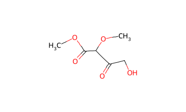 COC(=O)C(OC)C(=O)CO